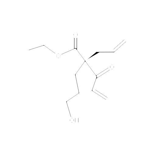 C=CC[C@](CCCO)(C(=O)C=C)C(=O)OCC